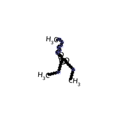 CC/C=C\C/C=C\C/C=C\C/C=C\C/C=C\C/C=C\CCC(=O)OC[C@H](COC(=O)CCCCCCC/C=C\CCCCCCCC)OC(=O)CCCCCCC/C=C\CCCCCCCC